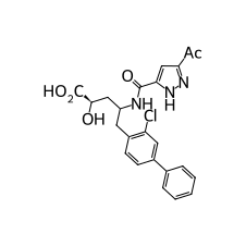 CC(=O)c1cc(C(=O)NC(Cc2ccc(-c3ccccc3)cc2Cl)C[C@@H](O)C(=O)O)[nH]n1